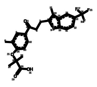 Cc1cc(C(=O)CCc2sc3ccc(C(F)(F)F)cc3c2C)ccc1OC(C)(C)C(=O)O